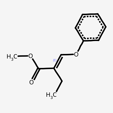 CC/C(=C\Oc1ccccc1)C(=O)OC